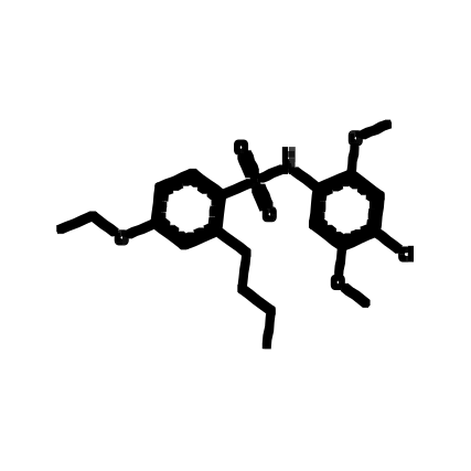 CCCCc1cc(OCC)ccc1S(=O)(=O)Nc1cc(OC)c(Cl)cc1OC